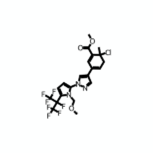 COCn1c(-n2cc(C3=CCC(C)(Cl)C(C(=O)OC)=C3)cn2)ccc1C(F)(C(F)(F)F)C(F)(F)F